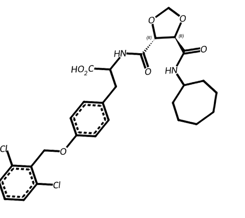 O=C(O)C(Cc1ccc(OCc2c(Cl)cccc2Cl)cc1)NC(=O)[C@@H]1OCO[C@H]1C(=O)NC1CCCCCC1